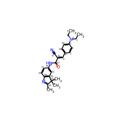 CCN(CC)c1ccc(/C=C(\C#N)C(=O)Nc2ccc3c(c2)C(C)(C)C(C)=N3)cc1